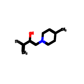 C=C(CC)C(O)CN1CCC(C)CC1